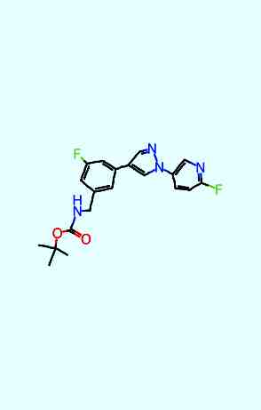 CC(C)(C)OC(=O)NCc1cc(F)cc(-c2cnn(-c3ccc(F)nc3)c2)c1